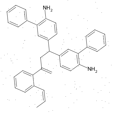 C=C(CC(c1ccc(N)c(-c2ccccc2)c1)c1ccc(N)c(-c2ccccc2)c1)c1ccccc1/C=C\C